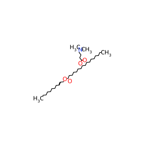 CCCCCCCCC=CCOC(=O)CCCCCCC(CCCCCCCCC)OC(=O)CCCN(C)C